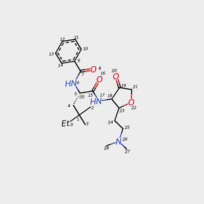 CCC(C)(C)C[C@H](NC(=O)c1ccccc1)C(=O)NC1C(=O)COC1CCN(C)C